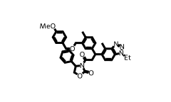 CCn1nnc2c(C)c(C(CC(=O)N3C(=O)OCC3c3ccccc3)c3ccc(C)c(COCc4ccc(OC)cc4)c3)ccc21